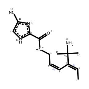 C/C=C(\C=C/CNC(=O)c1nc(C#N)c[nH]1)C(C)(C)N